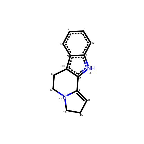 C1=C2c3[nH]c4ccccc4c3CCN2CC1